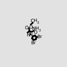 C=CCOC(=O)c1cnn(-c2cc(Br)cc(Br)c2)c1C(N)=O